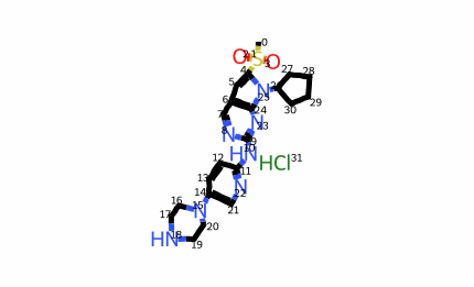 CS(=O)(=O)c1cc2cnc(Nc3ccc(N4CCNCC4)cn3)nc2n1C1CCCC1.Cl